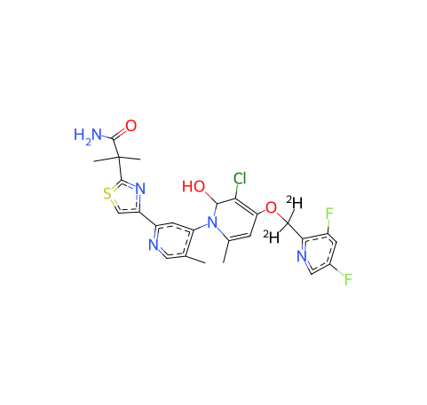 [2H]C([2H])(OC1=C(Cl)C(O)N(c2cc(-c3csc(C(C)(C)C(N)=O)n3)ncc2C)C(C)=C1)c1ncc(F)cc1F